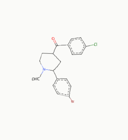 O=CN1CCC(C(=O)c2ccc(Cl)cc2)CC1c1ccc(Br)cc1